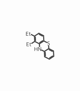 CCc1ccc2c(c1CC)Nc1ccccc1S2